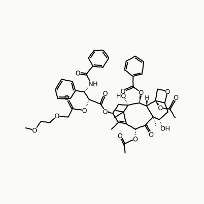 COCCOCC(=O)O[C@@H](C(=O)O[C@H]1C[C@@]2(O)[C@@H](OC(=O)c3ccccc3)[C@H]3[C@](C)(C(=O)[C@H](OC(C)=O)C(=C1C)C2(C)C)[C@@H](O)CC1OC[C@]13OC(C)=O)[C@@H](NC(=O)c1ccccc1)c1ccccc1